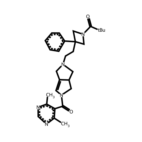 Cc1ncnc(C)c1C(=O)N1C=C2CN(CCC3(c4ccccc4)CN(C(=O)C(C)(C)C)C3)CC2C1